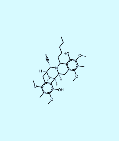 CCCCCC1c2c(O)c(OC)c(C)c(OC)c2C[C@H]2[C@H]3c4c(O)c(OC)c(C)c(OC)c4C[C@@H]([C@H](C#N)N12)N3C